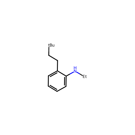 CCNc1ccccc1CCC(C)(C)C